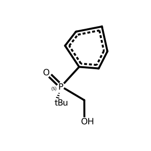 CC(C)(C)[P@@](=O)(CO)c1ccccc1